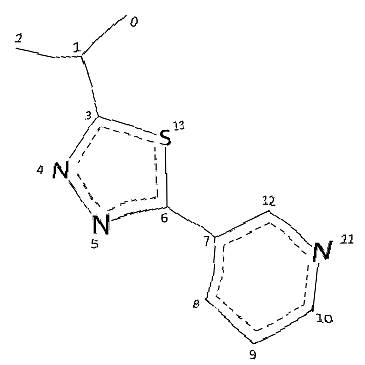 CC(C)c1nnc(-c2cccnc2)s1